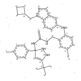 Cc1ccc(C2(NC(=O)NCc3cc(F)ccc3Nc3ccc4c(cnn4CC4CCC4)c3)C=C(C(C)(C)C)NN2)cc1